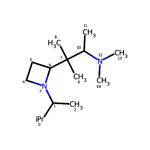 CC(C)C(C)N1CCC1C(C)(C)C(C)N(C)C